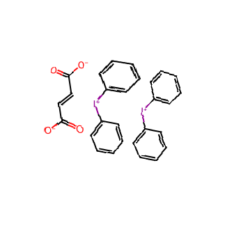 O=C([O-])/C=C/C(=O)[O-].c1ccc([I+]c2ccccc2)cc1.c1ccc([I+]c2ccccc2)cc1